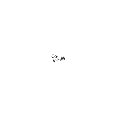 [Co].[Fe].[V].[W]